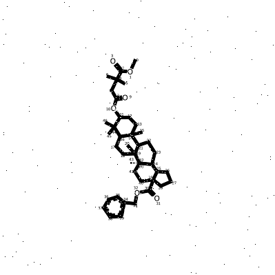 COC(=O)C(C)(C)CC(=O)OC1CCC2(C)C(CCC3(C)C2CCC2C4CCCC4(C(=O)OCc4ccccc4)CC[C@]23C)C1(C)C